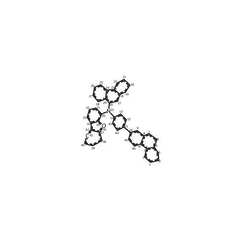 c1ccc2c(c1)ccc1cc(-c3ccc(N(c4cc5ccccc5c5ccccc45)c4cccc5c4oc4ccccc45)cc3)ccc12